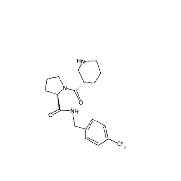 O=C(NCc1ccc(C(F)(F)F)cc1)[C@H]1CCCN1C(=O)[C@H]1CCCNC1